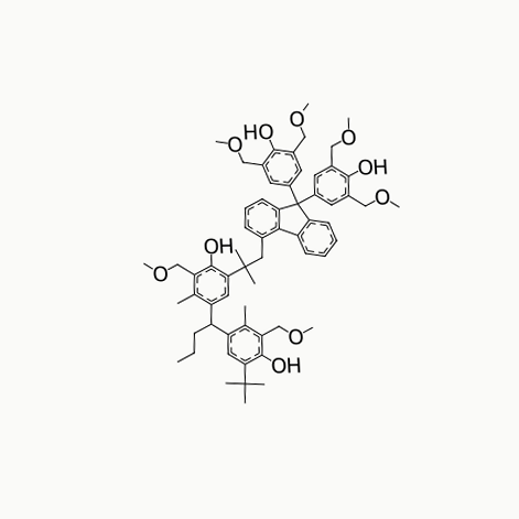 CCCC(c1cc(C(C)(C)C)c(O)c(COC)c1C)c1cc(C(C)(C)Cc2cccc3c2-c2ccccc2C3(c2cc(COC)c(O)c(COC)c2)c2cc(COC)c(O)c(COC)c2)c(O)c(COC)c1C